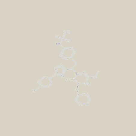 COC(=O)N[C@@H](Cc1ccccc1)C(=O)N[C@@H](Cc1ccc(NS(=O)(=O)O)cc1)c1nc(-c2ccc(Cl)cc2)cs1